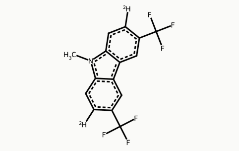 [2H]c1cc2c(cc1C(F)(F)F)c1cc(C(F)(F)F)c([2H])cc1n2C